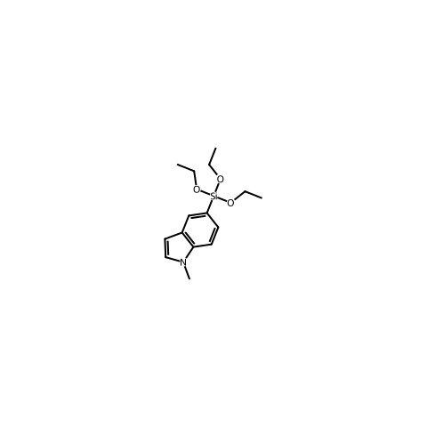 CCO[Si](OCC)(OCC)c1ccc2c(ccn2C)c1